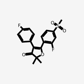 CC1(C)OC(c2ccc(S(C)(=O)=O)cc2F)=C(c2ccc(F)cc2)C1=O